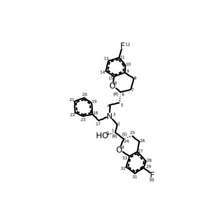 O[C@H](CN(CC[C@H]1CCc2cc(F)ccc2O1)Cc1ccccc1)[C@@H]1CCc2cc(F)ccc2O1